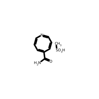 CS(=O)(=O)O.NC(=O)C1=C/C=C\N=C/C=C\1